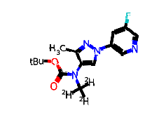 [2H]C([2H])([2H])N(C(=O)OC(C)(C)C)c1cn(-c2cncc(F)c2)nc1C